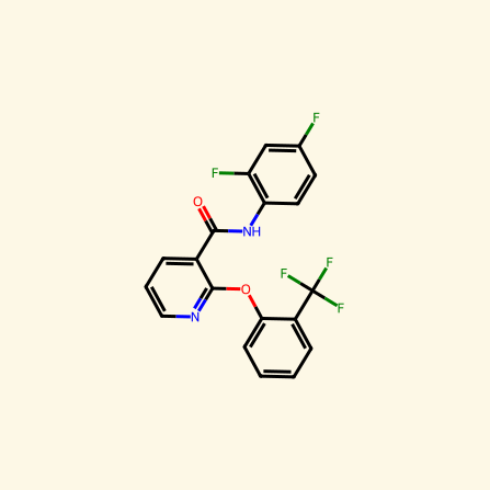 O=C(Nc1ccc(F)cc1F)c1cccnc1Oc1ccccc1C(F)(F)F